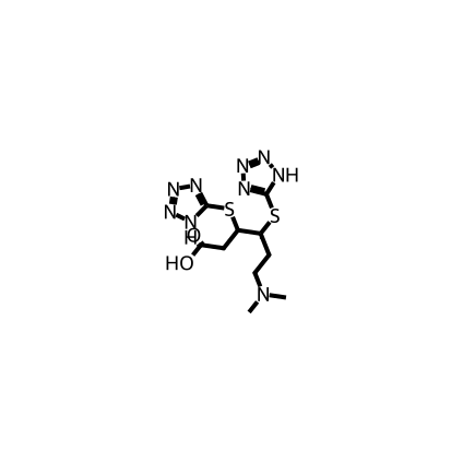 CN(C)CC[C](Sc1nnn[nH]1)C(CC(=O)O)Sc1nnn[nH]1